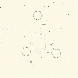 C[C@H](Nc1ncnc(N)c1C#N)c1nc2cccc(Cl)c2c(=O)n1C1CC(OC(=O)c2ccccc2)C1